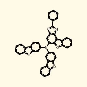 c1ccc(-c2nc3c(cc(N(c4ccc5c(c4)oc4ccccc45)c4ccc5oc6ccccc6c5c4)c4oc5ccccc5c43)o2)cc1